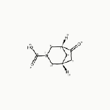 O=C1C[C@H]2C[C@@H]1CN(C(=O)O)C2